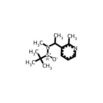 Cc1ncccc1C(C)N(C)[S@@+]([O-])C(C)(C)C